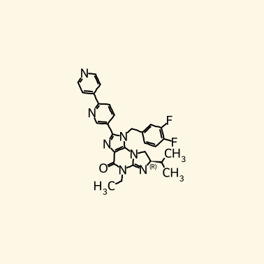 CCN1C(=O)c2nc(-c3ccc(-c4ccncc4)nc3)n(Cc3ccc(F)c(F)c3)c2N2C[C@@H](C(C)C)N=C12